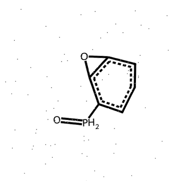 O=[PH2]c1cccc2c1O2